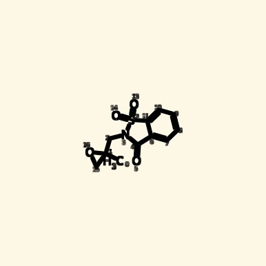 CC1(CN2C(=O)c3ccccc3S2(=O)=O)CO1